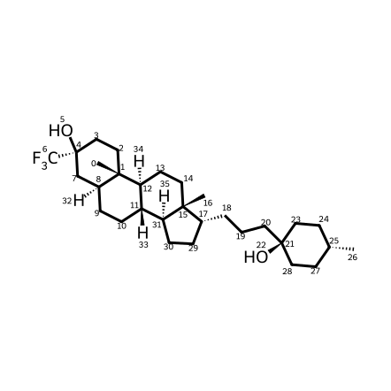 C[C@]12CC[C@@](O)(C(F)(F)F)C[C@@H]1CC[C@@H]1[C@@H]2CC[C@]2(C)[C@H](CCC[C@]3(O)CC[C@H](C)CC3)CC[C@@H]12